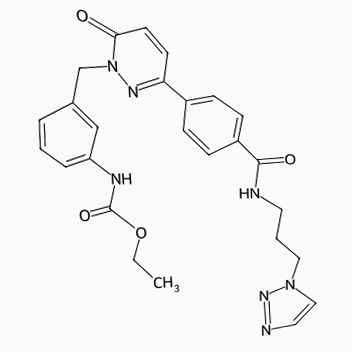 CCOC(=O)Nc1cccc(Cn2nc(-c3ccc(C(=O)NCCCn4ccnn4)cc3)ccc2=O)c1